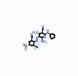 Cc1c(C#N)c(Nc2ccccc2)nc(N)c1/N=N/c1c(C#N)cc([N+](=O)[O-])cc1C(F)(F)F